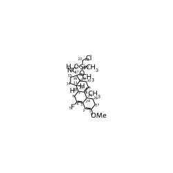 COC1=CC2=C(F)C[C@@H]3C(=CC[C@@]4(C)[C@H]3CC[C@@]4(C#N)O[Si](C)(C)CCl)[C@@]2(C)CC1